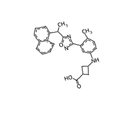 Cc1ccc(NC2CC(C(=O)O)C2)cc1-c1noc(C(C)c2cccc3ccccc23)n1